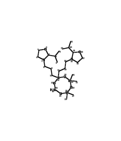 CC(C)C1OCCN1CCC[Si]1(CCCN2CCOC2C(C)C)O[SiH2]O[Si](C)(C)O[Si](C)(C)O1